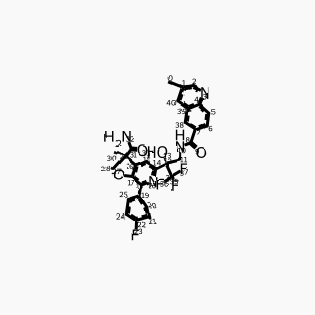 Cc1cnc2ccc(C(=O)NC[C@](O)(c3cc4c(c(-c5ccc(F)cc5)n3)OC[C@]4(C)C(N)=O)C(F)(F)F)cc2c1